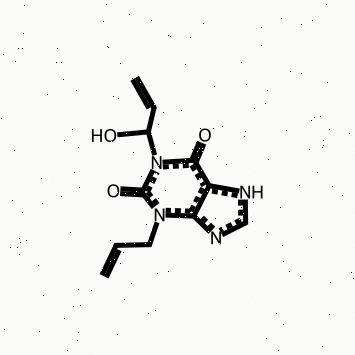 C=CCn1c(=O)n(C(O)C=C)c(=O)c2[nH]cnc21